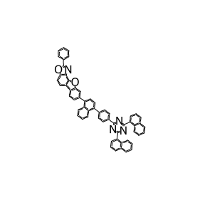 c1ccc(-c2nc3c(ccc4c5ccc(-c6ccc(-c7ccc(-c8nc(-c9cccc%10ccccc9%10)nc(-c9cccc%10ccccc9%10)n8)cc7)c7ccccc67)cc5oc43)o2)cc1